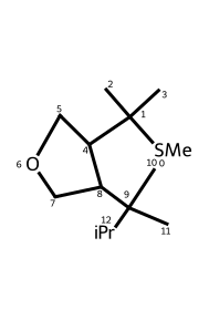 CSC(C)(C)C1COCC1C(C)(C)C(C)C